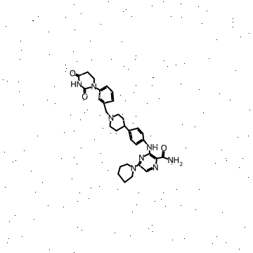 NC(=O)c1ncc(N2CCCCC2)nc1Nc1ccc(C2CCN(Cc3cccc(N4CCC(=O)NC4=O)c3)CC2)cc1